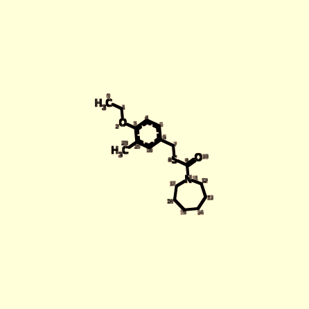 CCOc1ccc(CSC(=O)N2CCCCCC2)cc1C